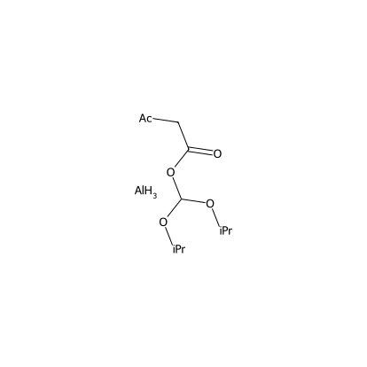 CC(=O)CC(=O)OC(OC(C)C)OC(C)C.[AlH3]